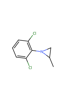 CC1CN1c1c(Cl)cccc1Cl